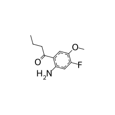 CCCC(=O)c1cc(OC)c(F)cc1N